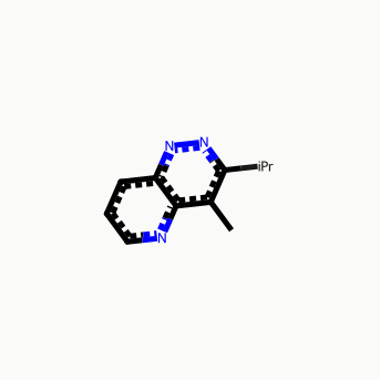 Cc1c(C(C)C)nnc2cccnc12